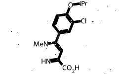 CN/C(=C\C(=N)C(=O)O)c1ccc(OC(C)C)c(Cl)c1